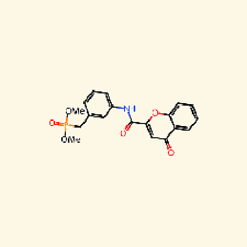 COP(=O)(Cc1cccc(NC(=O)c2cc(=O)c3ccccc3o2)c1)OC